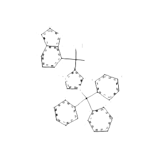 CC(O)(c1cn(C(c2ccccc2)(c2ccccc2)c2ccccc2)cn1)c1cccc2ccsc12